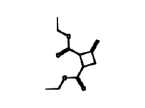 C=C1CC(C(=O)OCC)C1C(=O)OCC